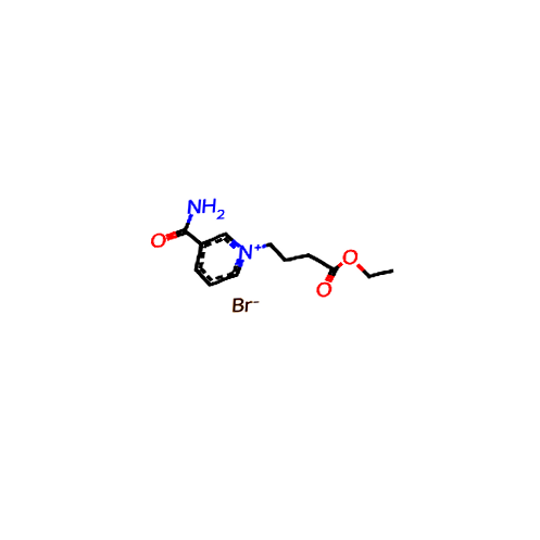 CCOC(=O)CCC[n+]1cccc(C(N)=O)c1.[Br-]